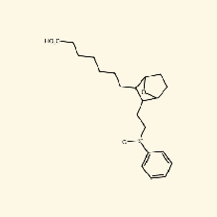 O=C(O)CCCCCCC1C2CCC(O2)C1CC[S+]([O-])c1ccccc1